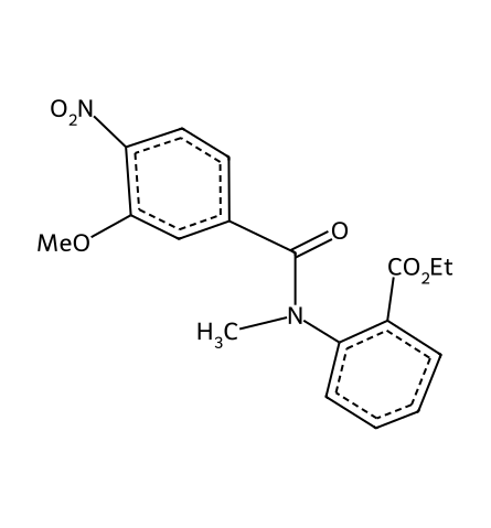 CCOC(=O)c1ccccc1N(C)C(=O)c1ccc([N+](=O)[O-])c(OC)c1